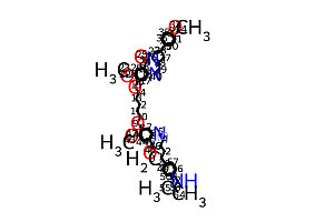 C=C(CC/C=N\c1cc(OCCCCCOc2cc3c(cc2OC)C(=O)N2C=C(c4ccc(OC)cc4)CC2C=N3)c(OC)cc1C=O)c1ccc(NC(C)C)cc1